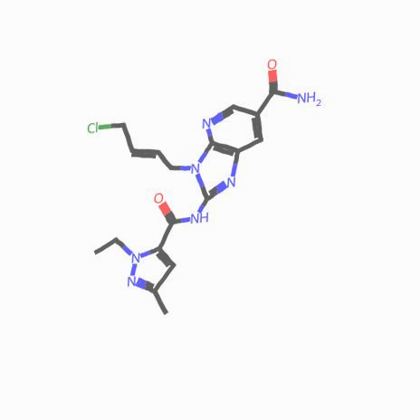 CCn1nc(C)cc1C(=O)Nc1nc2cc(C(N)=O)cnc2n1C/C=C/CCl